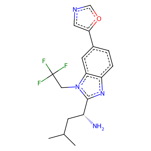 CC(C)C[C@@H](N)c1nc2ccc(-c3cnco3)cc2n1CC(F)(F)F